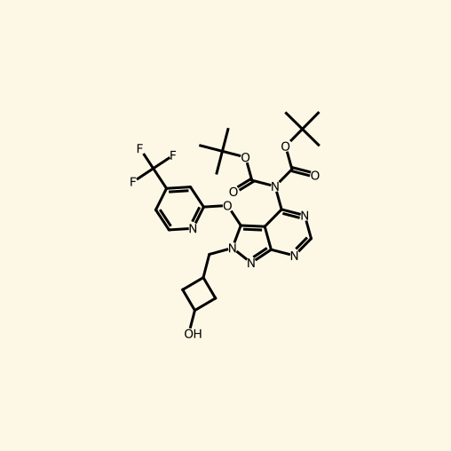 CC(C)(C)OC(=O)N(C(=O)OC(C)(C)C)c1ncnc2nn(CC3CC(O)C3)c(Oc3cc(C(F)(F)F)ccn3)c12